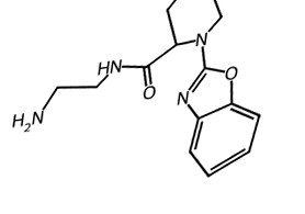 NCCNC(=O)C1CCCCN1c1nc2ccccc2o1